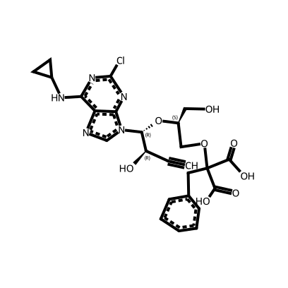 C#C[C@@H](O)[C@@H](O[C@@H](CO)COC(Cc1ccccc1)(C(=O)O)C(=O)O)n1cnc2c(NC3CC3)nc(Cl)nc21